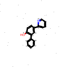 Oc1ccc(-c2ccccn2)cc1-c1ccccc1